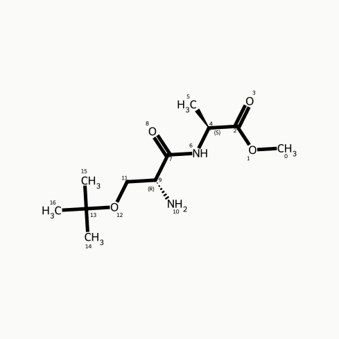 COC(=O)[C@H](C)NC(=O)[C@H](N)COC(C)(C)C